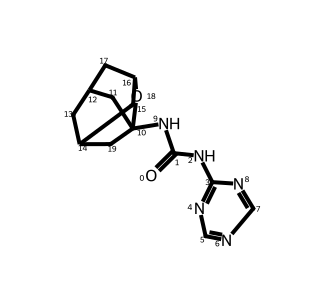 O=C(Nc1ncncn1)NC12CC3CC(CC(C3)O1)C2